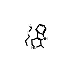 CC1NCCc2c1[nH]c1ccccc21.CCCOC=O